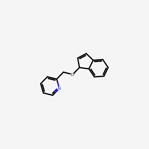 C1=C[CH]([Cr][CH2]c2ccccn2)c2ccccc21